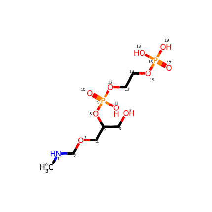 CNCOCC(CO)OP(=O)(O)OCCOP(=O)(O)O